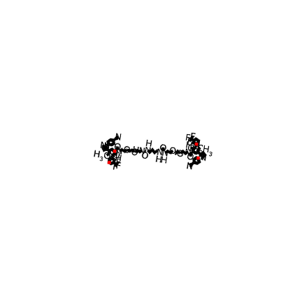 Cc1c(-c2ccnn2-c2ccc(C#N)cc2)cc(C(=O)NCCOCCOCCNC(=O)NCCCCNC(=O)NCCOCCOCCNC(=O)c2cc(-c3ccnn3-c3ccc(C#N)cc3)c(C)n(-c3cccc(C(F)(F)F)c3)c2=O)c(=O)n1-c1cccc(C(F)(F)F)c1